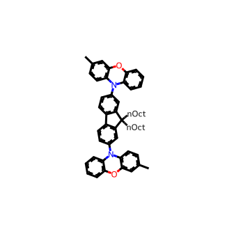 CCCCCCCCC1(CCCCCCCC)c2cc(N3c4ccccc4Oc4cc(C)ccc43)ccc2-c2ccc(N3c4ccccc4Oc4cc(C)ccc43)cc21